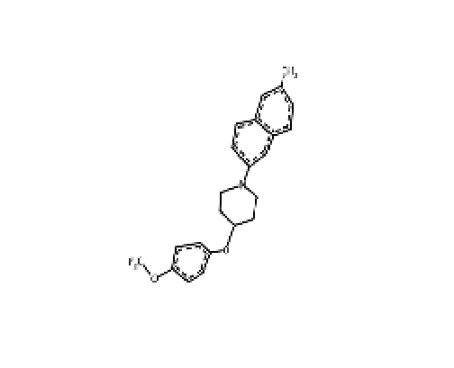 Cc1ccc2cc(N3CCC(Oc4ccc(OC(F)(F)F)cc4)CC3)ccc2c1